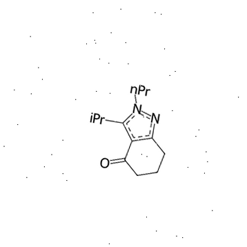 CCCn1nc2c(c1C(C)C)C(=O)CCC2